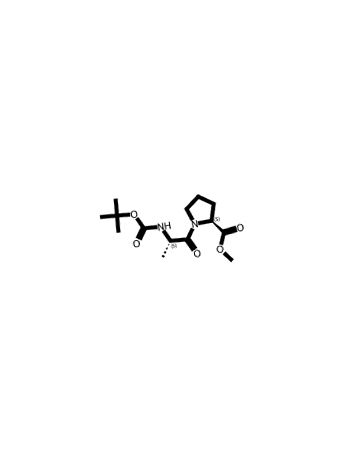 COC(=O)[C@@H]1CCCN1C(=O)[C@H](C)NC(=O)OC(C)(C)C